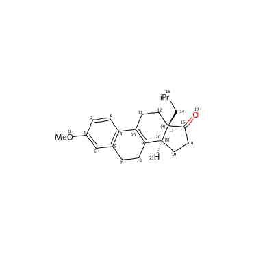 COc1ccc2c(c1)CCC1=C2CC[C@]2(CC(C)C)C(=O)CC[C@@H]12